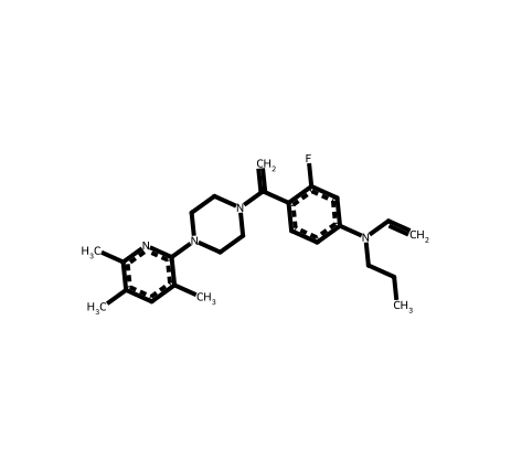 C=CN(CCC)c1ccc(C(=C)N2CCN(c3nc(C)c(C)cc3C)CC2)c(F)c1